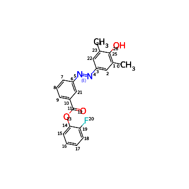 Cc1cc(/N=N/c2cccc(C(=O)Oc3ccccc3F)c2)cc(C)c1O